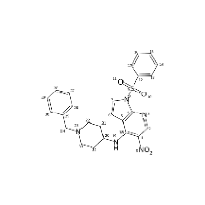 O=[N+]([O-])c1cnc2c(ccn2S(=O)(=O)c2ccccc2)c1NC1CCN(Cc2ccccc2)CC1